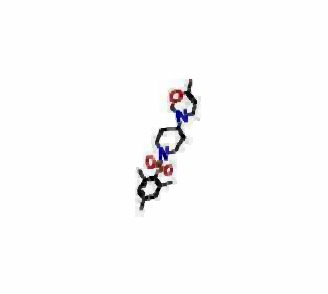 CC1=CCN(C2CCN(S(=O)(=O)c3c(C)cc(C)cc3C)CC2)CO1